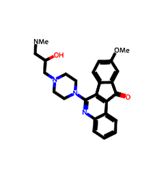 CNCC(O)CN1CCN(c2nc3ccccc3c3c2-c2ccc(OC)cc2C3=O)CC1